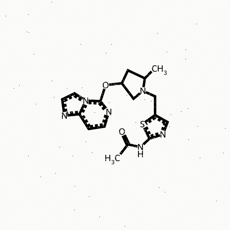 CC(=O)Nc1ncc(CN2CC(Oc3nccc4nccn34)CC2C)s1